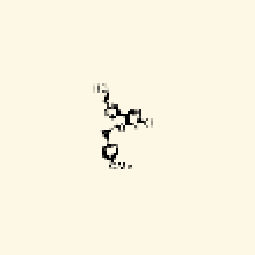 COc1ccc([C@H]2C[C@@H]2COc2nc(C)ncc2-c2cnn(CCO)c2)nc1